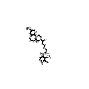 C[C@@H](COCCC(=O)N1CCN2c3ncc(C(C)(C)C)cc3OCC[C@@H]2C1)Nc1cn[nH]c(=O)c1C(F)(F)F